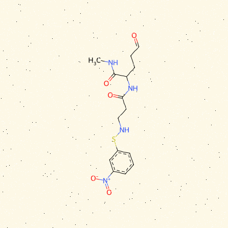 CNC(=O)C(CCC=O)NC(=O)CCNSc1cccc([N+](=O)[O-])c1